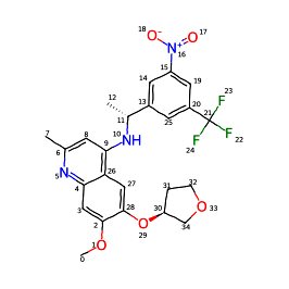 COc1cc2nc(C)cc(N[C@H](C)c3cc([N+](=O)[O-])cc(C(F)(F)F)c3)c2cc1O[C@H]1CCOC1